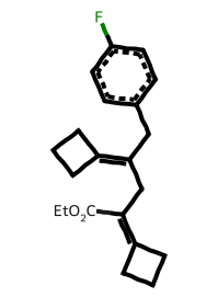 CCOC(=O)C(CC(Cc1ccc(F)cc1)=C1CCC1)=C1CCC1